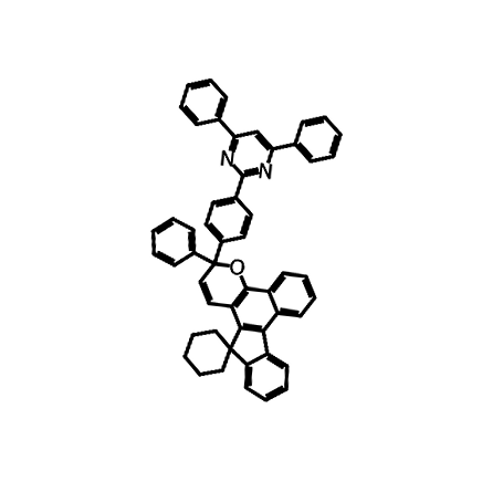 C1=CC(c2ccccc2)(c2ccc(-c3nc(-c4ccccc4)cc(-c4ccccc4)n3)cc2)Oc2c1c1c(c3ccccc23)-c2ccccc2C12CCCCC2